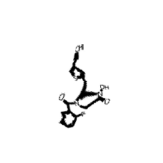 C#Cc1csc(C2N(O)C(=O)CN2C(=O)c2ccccc2F)c1